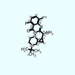 CC(C)(C)N1CCN(n2c([C@@H](N)C3CC3)nc3c(F)ccc(F)c3c2=O)CC1